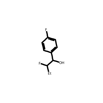 CCC(F)C(O)c1ccc(F)cc1